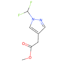 COC(=O)Cc1cnn(C(F)F)c1